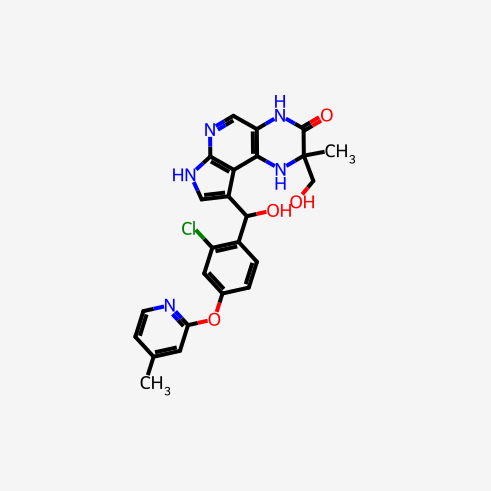 Cc1ccnc(Oc2ccc(C(O)c3c[nH]c4ncc5c(c34)NC(C)(CO)C(=O)N5)c(Cl)c2)c1